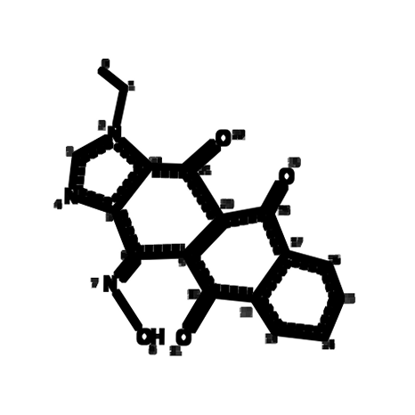 CCn1cnc2/c(=N/O)c3c(=O)c4ccccc4c(=O)c=3c(=O)c21